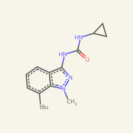 Cn1nc(NC(=O)NC2CC2)c2cccc(C(C)(C)C)c21